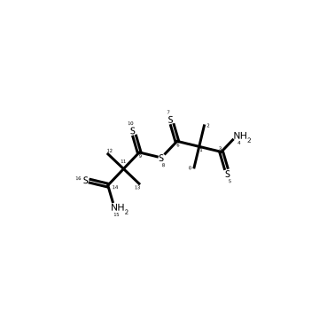 CC(C)(C(N)=S)C(=S)SC(=S)C(C)(C)C(N)=S